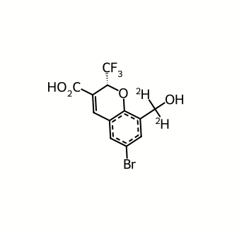 [2H]C([2H])(O)c1cc(Br)cc2c1O[C@@H](C(F)(F)F)C(C(=O)O)=C2